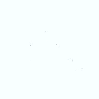 CCOC(=O)NC(=O)c1ccsc1NC(=O)C1CSC(C(F)(F)F)N1